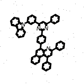 c1ccc(-c2cc(-c3cccc(-n4c5ccccc5c5ccccc54)c3)nc(-c3ccc(-c4cc5ccccc5c5c(-c6ccccc6)cc(-c6ccccc6)nc45)cc3)n2)cc1